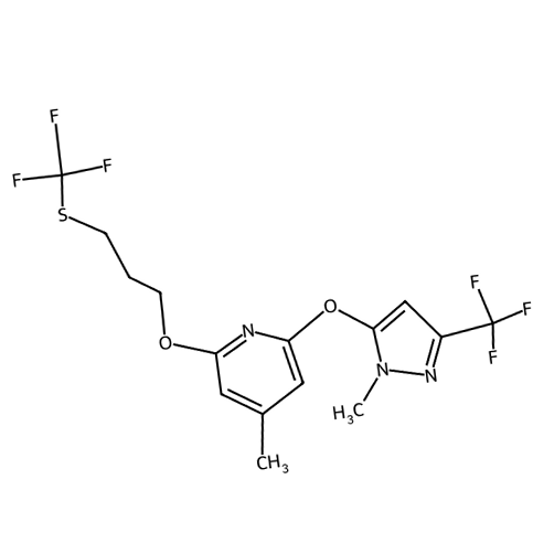 Cc1cc(OCCCSC(F)(F)F)nc(Oc2cc(C(F)(F)F)nn2C)c1